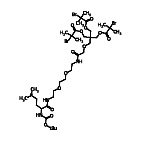 CN(C)CCC(NC(=O)OC(C)(C)C)C(=O)NCCOCCOCCNC(=O)COCC(COC(=O)C(C)(C)Br)(COC(=O)C(C)(C)Br)COC(=O)C(C)(C)Br